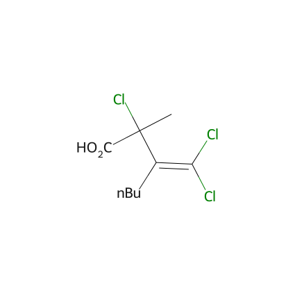 CCCCC(=C(Cl)Cl)C(C)(Cl)C(=O)O